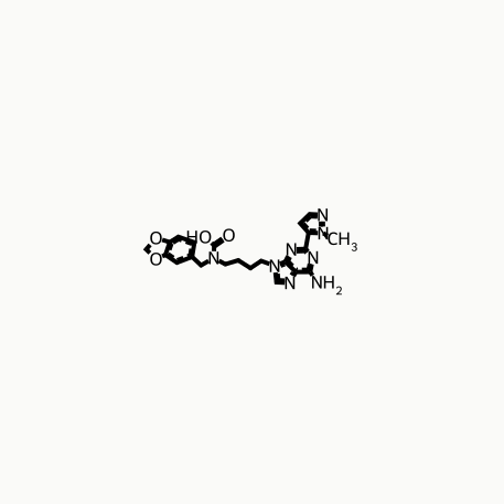 Cn1nccc1-c1nc(N)c2ncn(CCCCN(Cc3ccc4c(c3)OCO4)C(=O)O)c2n1